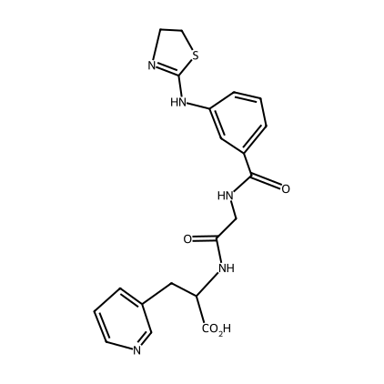 O=C(CNC(=O)c1cccc(NC2=NCCS2)c1)NC(Cc1cccnc1)C(=O)O